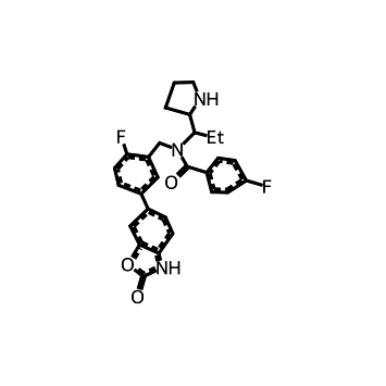 CCC(C1CCCN1)N(Cc1cc(-c2ccc3[nH]c(=O)oc3c2)ccc1F)C(=O)c1ccc(F)cc1